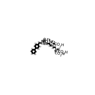 CCN(CC)C(COP(=O)(O)OCCc1ccc(-c2ccccc2)cc1)CN(CCN(CC(=O)O)CC(=O)O)CC(=O)O